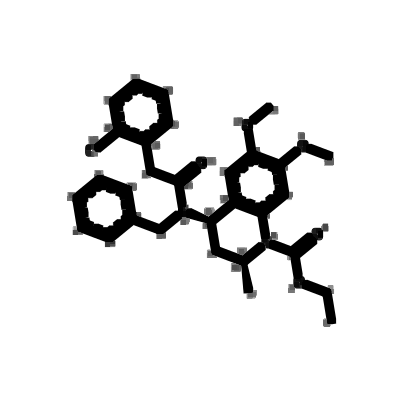 CCOC(=O)N1c2cc(OC)c(OC)cc2[C@H](N(Cc2ccccc2)C(=O)Cc2ccccc2Cl)C[C@@H]1C